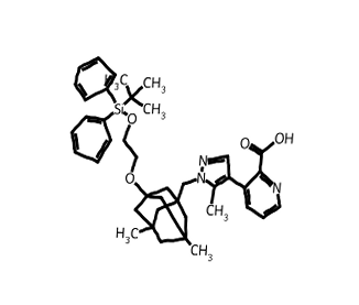 Cc1c(-c2cccnc2C(=O)O)cnn1CC12CC3(C)CC(C)(C1)CC(OCCO[Si](c1ccccc1)(c1ccccc1)C(C)(C)C)(C3)C2